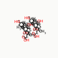 C[C@H](CCC(=O)O)[C@H]1CC[C@H]2[C@@H]3[C@H](O)C[C@@H]4C[C@H](O)CC[C@]4(C)[C@H]3C[C@H](O)[C@]12C.C[C@H](CCC(=O)O)[C@H]1CC[C@H]2[C@@H]3[C@H](O)C[C@@H]4C[C@H](O)CC[C@]4(C)[C@H]3C[C@H](O)[C@]12C